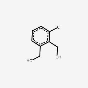 OCc1cccc(Cl)c1CO